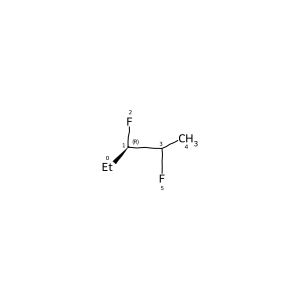 CC[C@@H](F)C(C)F